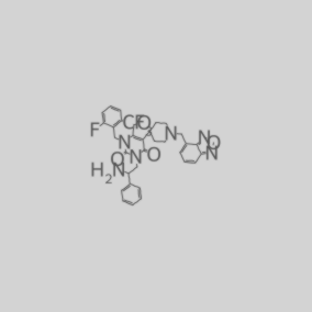 NC(Cn1c(=O)c2c(n(Cc3c(F)cccc3C(F)(F)F)c1=O)COC21CCN(Cc2cccc3nonc23)CC1)c1ccccc1